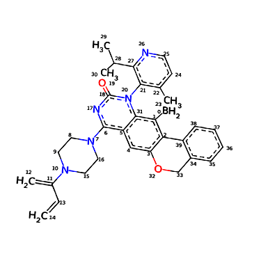 Bc1c2c(cc3c(N4CCN(C(=C)C=C)CC4)nc(=O)n(-c4c(C)ccnc4C(C)C)c13)OCc1ccccc1-2